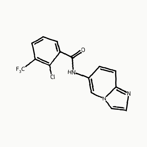 O=C(Nc1ccc2nccn2c1)c1cccc(C(F)(F)F)c1Cl